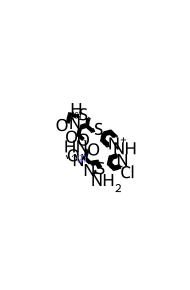 CO/N=C(\C(=O)NOC(=O)C1=C(CSc2cc[n+](Nc3cccc(Cl)n3)cc2)CS[C@H]2CC(=O)N12)c1csc(N)n1